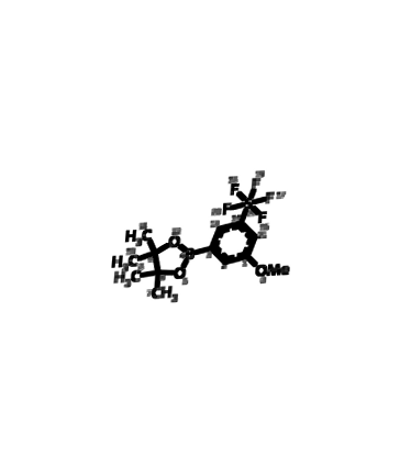 COc1cc(B2OC(C)(C)C(C)(C)O2)cc(S(F)(F)(F)(F)F)c1